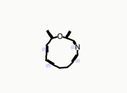 C=C1/C=C\C=C/CC/C=C\N=C/C(=C)O1